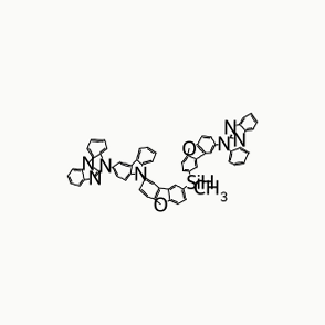 C[SiH](c1ccc2oc3ccc(-n4c5ccccc5c5cc(-n6c7ccccc7n7c8ccccc8nc67)ccc54)cc3c2c1)c1ccc2oc3ccc(-n4c5ccccc5n5c6ccccc6nc45)cc3c2c1